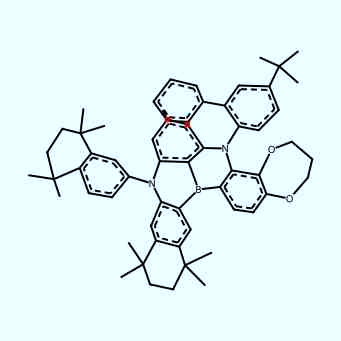 Cc1cc2c3c(c1)N(c1ccc(C(C)(C)C)cc1-c1ccccc1)c1c(ccc4c1OCCCO4)B3c1cc3c(cc1N2c1ccc2c(c1)C(C)(C)CCC2(C)C)C(C)(C)CCC3(C)C